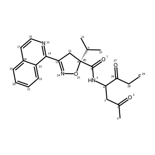 CC(=O)CC(NC(=O)[C@]1(C(C)C)CC(c2nccc3ccccc23)=NO1)C(=O)CF